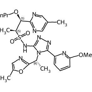 CCCO[C@@H](c1ncc(C)cn1)[C@H](C)S(=O)(=O)Nc1nnc(-c2cccc(OC)n2)n1[C@H](C)c1ncc(C)o1